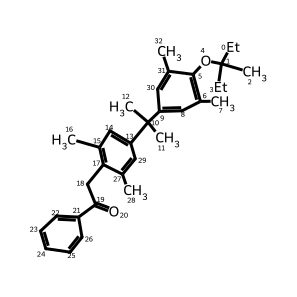 CCC(C)(CC)Oc1c(C)cc(C(C)(C)c2cc(C)c(CC(=O)c3ccccc3)c(C)c2)cc1C